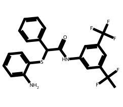 CC(F)(F)c1cc(NC(=O)C(Sc2ccccc2N)c2ccccc2)cc(C(F)(F)F)c1